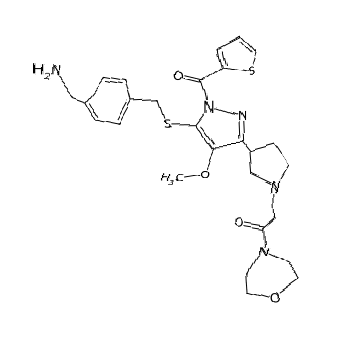 COc1c(C2CCN(CC(=O)N3CCOCC3)C2)nn(C(=O)c2cccs2)c1SCc1ccc(CN)cc1